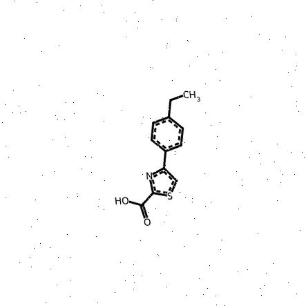 CCc1ccc(-c2csc(C(=O)O)n2)cc1